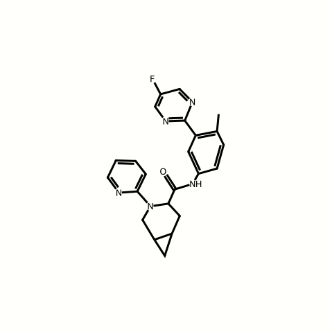 Cc1ccc(NC(=O)C2CC3CC3CN2c2ccccn2)cc1-c1ncc(F)cn1